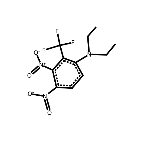 CCN(CC)c1ccc([N+](=O)[O-])c([N+](=O)[O-])c1C(F)(F)F